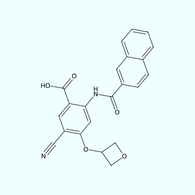 N#Cc1cc(C(=O)O)c(NC(=O)c2ccc3ccccc3c2)cc1OC1COC1